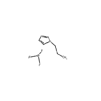 CCCn1cccc1.FB(F)F